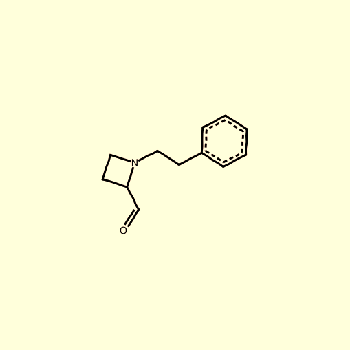 O=CC1CCN1CCc1ccccc1